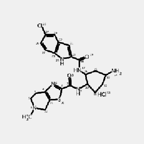 CN1CCc2nc(C(=O)NC3CCC(N)CC3NC(=O)c3cc4cc(Cl)ccc4[nH]3)sc2C1.Cl